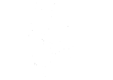 C#CCOC(=O)C1=C(C(=O)N(Cc2ccc(Cl)nc2)c2cc(OC(C)C#C)c(Cl)cc2F)CCCC1